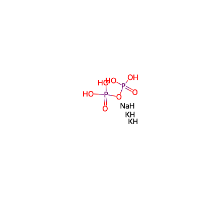 O=P(O)(O)OP(=O)(O)O.[KH].[KH].[NaH]